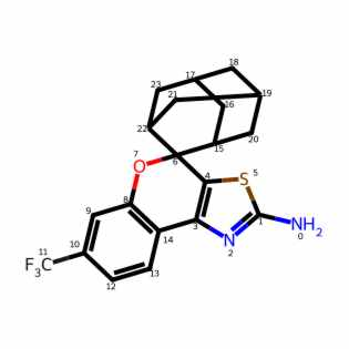 Nc1nc2c(s1)C1(Oc3cc(C(F)(F)F)ccc3-2)C2CC3CC(C2)CC1C3